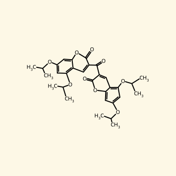 CC(C)Oc1cc(OC(C)C)c2cc(C(=O)c3cc4c(OC(C)C)cc(OC(C)C)cc4oc3=O)c(=O)oc2c1